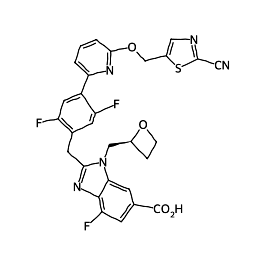 N#Cc1ncc(COc2cccc(-c3cc(F)c(Cc4nc5c(F)cc(C(=O)O)cc5n4C[C@@H]4CCO4)cc3F)n2)s1